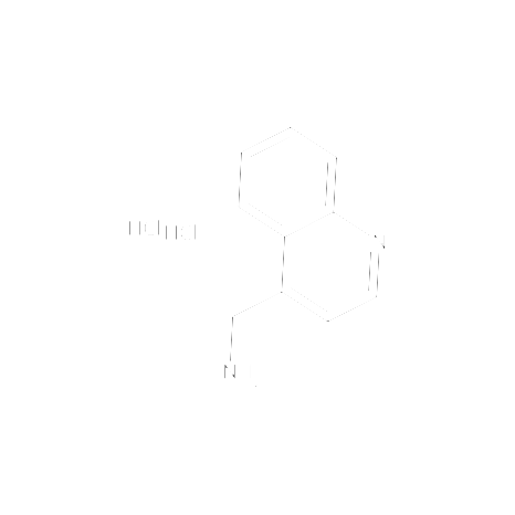 Cl.Cl.NCc1ccnc2ccccc12